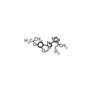 CC(C)Oc1ccc2c(c1)OCCn1cc(-c3ncnn3C(C)C)nc1-2